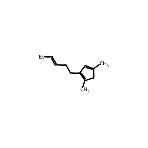 CCC=CCCC1=C(C)CC(C)=C1